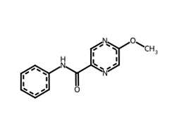 COc1cnc(C(=O)Nc2ccccc2)cn1